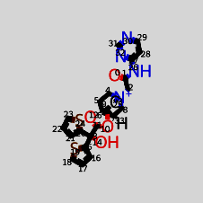 O=C(C[N+]12CCC(CC1)[C@@H](OC(=O)C(O)(c1cccs1)c1cccs1)C2)Nc1ccncn1